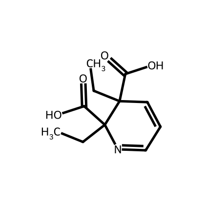 CCC1(C(=O)O)C=CC=NC1(CC)C(=O)O